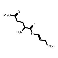 CCCCCCCCCC/C=C/OC(=O)C(N)CCC(=O)OC